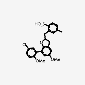 COc1cc2c(c(-c3cc(Cl)ccc3OC)c1)OC(Cc1cc(C)ccc1S(=O)(=O)O)C2